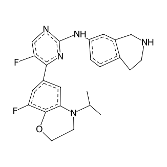 CC(C)N1CCOc2c(F)cc(-c3nc(Nc4ccc5c(c4)CNCC5)ncc3F)cc21